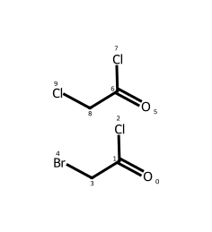 O=C(Cl)CBr.O=C(Cl)CCl